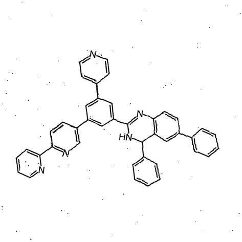 c1ccc(-c2ccc3c(c2)C(c2ccccc2)NC(c2cc(-c4ccncc4)cc(-c4ccc(-c5ccccn5)nc4)c2)=N3)cc1